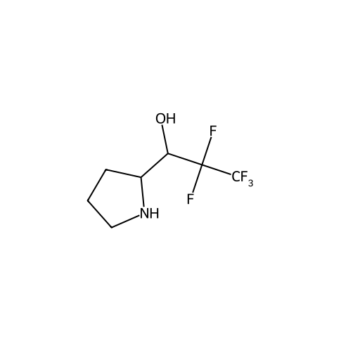 OC(C1CCCN1)C(F)(F)C(F)(F)F